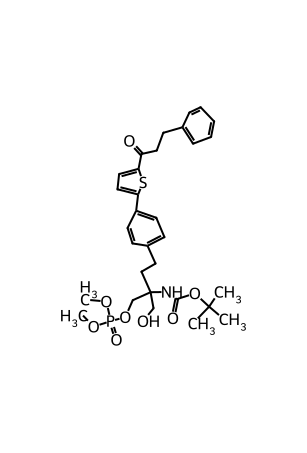 COP(=O)(OC)OCC(CO)(CCc1ccc(-c2ccc(C(=O)CCc3ccccc3)s2)cc1)NC(=O)OC(C)(C)C